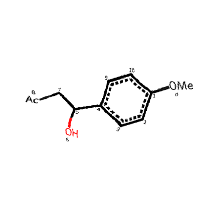 COc1ccc(C(O)CC(C)=O)cc1